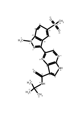 Cn1nc(-c2cnc3[nH]cc(C(=O)NC(C)(C)C)c3n2)c2cc(S(C)(=O)=O)ccc21